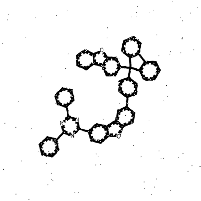 c1ccc(-c2nc(-c3ccccc3)nc(-c3ccc4oc5ccc(-c6ccc(C7(c8ccc9c(c8)oc8ccccc89)c8ccccc8-c8ccccc87)cc6)cc5c4c3)n2)cc1